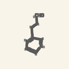 O=CCCc1cnccn1